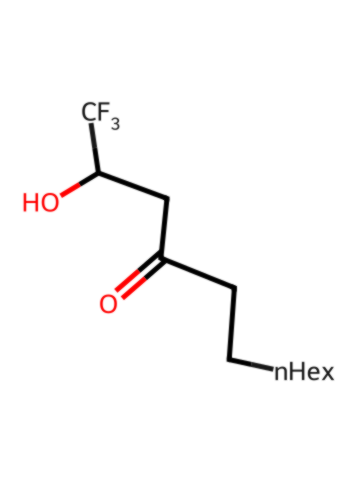 CCCCCCCCC(=O)CC(O)C(F)(F)F